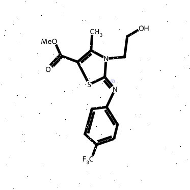 COC(=O)c1s/c(=N\c2ccc(C(F)(F)F)cc2)n(CCO)c1C